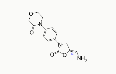 N/C=C1/CN(c2ccc(N3CCOCC3=O)cc2)C(=O)O1